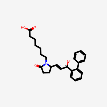 O=C(O)CCCCCCN1C(=O)CCC1/C=C/[C@@H](O)c1ccccc1-c1ccccc1